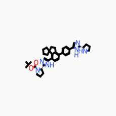 CC(C)(C)OC(=O)N1CCC[C@H]1c1ncc(-c2ccc(-c3ccc(-c4cnc([C@@H]5CCCN5)[nH]4)cc3)c3c2C2(CCCC2)CC3)[nH]1